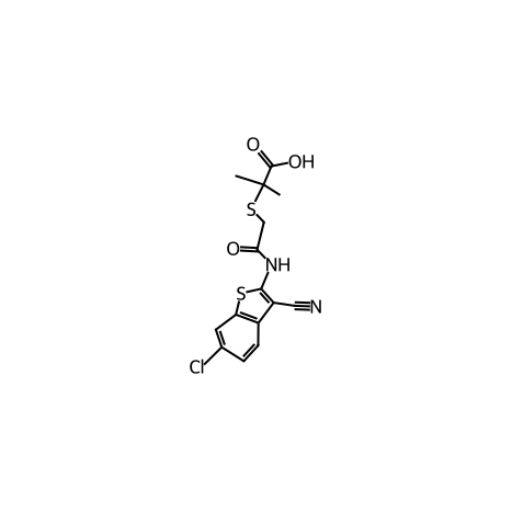 CC(C)(SCC(=O)Nc1sc2cc(Cl)ccc2c1C#N)C(=O)O